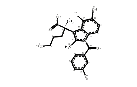 CCCC[C@@](C)(C(=O)O)c1c(C)n(C(=O)c2cccc(Cl)c2)c2ccc(O)c(F)c12